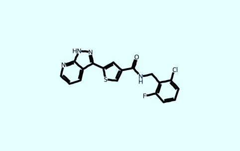 O=C(NCc1c(F)cccc1Cl)c1csc(-c2n[nH]c3ncccc23)c1